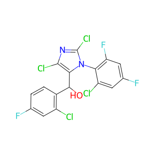 OC(c1ccc(F)cc1Cl)c1c(Cl)nc(Cl)n1-c1c(F)cc(F)cc1Cl